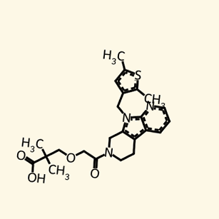 Cc1cc(Cn2c3c(c4cccnc42)CCN(C(=O)COCC(C)(C)C(=O)O)C3)c(C)s1